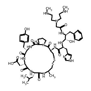 CNCCN(CCNC)CC(=O)N[C@@H](Cc1ccccc1)[C@H](O)N[C@@H](Cc1c[nH]cn1)C(=O)N[C@H]1CSSC[C@@H](C)NC(=O)[C@H](CC(C)C)NC(=O)[C@H](CC(=O)O)NC(=O)[C@H](Cc2ccc(O)cc2)NC(=O)[C@@H]2CCCN2C1=O